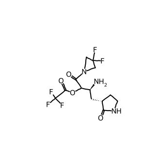 N[C@@H](C[C@@H]1CCNC1=O)C(OC(=O)C(F)(F)F)C(=O)N1CC(F)(F)C1